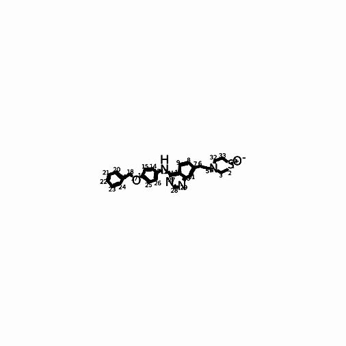 [O-][S+]1CCN(CCc2ccc3c(Nc4ccc(OCc5ccccc5)cc4)ncnc3c2)CC1